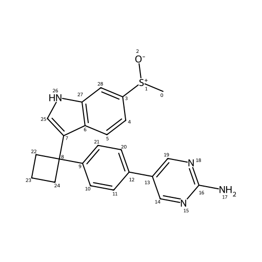 C[S+]([O-])c1ccc2c(C3(c4ccc(-c5cnc(N)nc5)cc4)CCC3)c[nH]c2c1